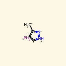 Cc1cc[nH]n1.P